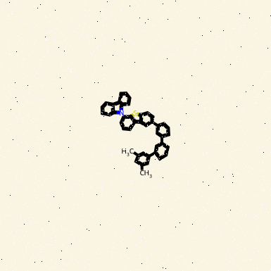 Cc1cc(C)cc(-c2cccc(-c3cccc(-c4ccc5sc6c(-n7c8ccccc8c8ccccc87)cccc6c5c4)c3)c2)c1